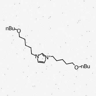 CCCCOCCCCCn1cc[n+](CCCCCOCCCC)c1